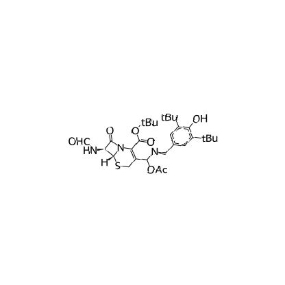 CC(=O)OC(N=Cc1cc(C(C)(C)C)c(O)c(C(C)(C)C)c1)C1=C(C(=O)OC(C)(C)C)N2C(=O)[C@H](NC=O)[C@H]2SC1